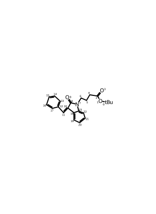 CC(C)(C)OC(=O)CCCN1C(=O)C(=Cc2ccccc2)c2ccccc21